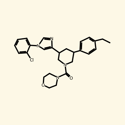 CCc1ccc(C2CC(c3cn(-c4ccccc4Cl)cn3)CN(C(=O)N3CCOCC3)C2)cc1